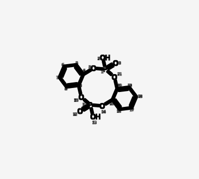 O=P1(O)Oc2ccccc2OP(=O)(O)Oc2ccccc2O1